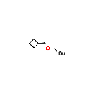 CCCC[CH]OCC1CCC1